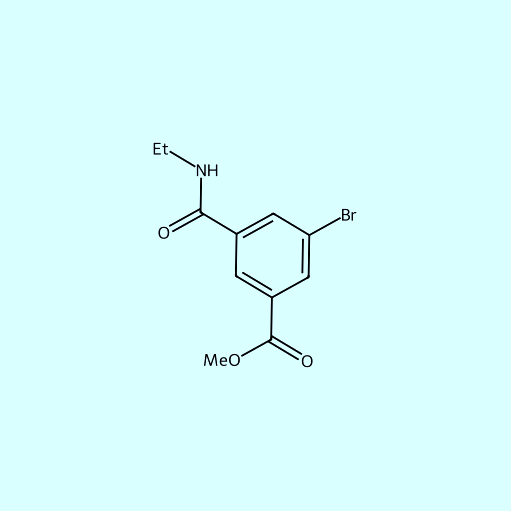 CCNC(=O)c1cc(Br)cc(C(=O)OC)c1